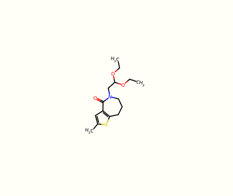 CCOC(CN1CCCc2sc(C)cc2C1=O)OCC